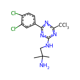 CC(C)(N)CNc1nc(-c2ccc(Cl)c(Cl)c2)nc(C(Cl)(Cl)Cl)n1